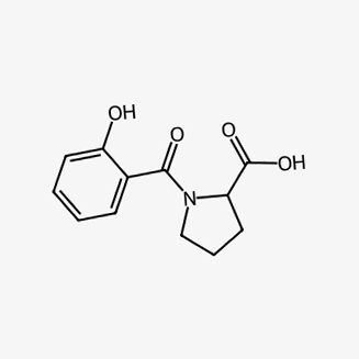 O=C(O)C1CCCN1C(=O)c1ccccc1O